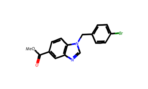 COC(=O)c1ccc2c(c1)ncn2Cc1ccc(Br)cc1